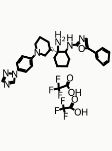 NC1([C@H]2CCCN(c3ccc(-n4cncn4)cc3)C2)CCCCC1Nc1ncc(-c2ccccc2)o1.O=C(O)C(F)(F)F.O=C(O)C(F)(F)F